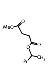 COC(=O)CCC(=O)OC(C)C(C)C